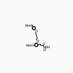 COc1ccc(OCCCCCOc2cc(OC)ccc2/C=C/C(=O)NO)cc1